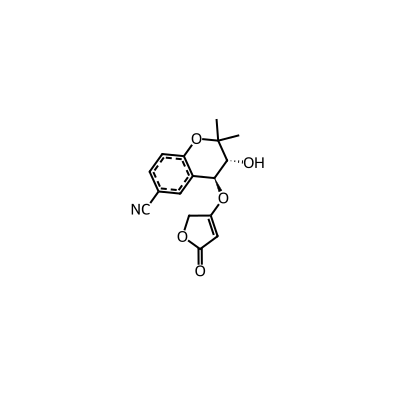 CC1(C)Oc2ccc(C#N)cc2[C@H](OC2=CC(=O)OC2)[C@H]1O